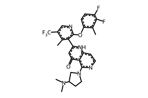 Cc1c(Oc2ncc(C(F)(F)F)c(C)c2-c2cc(=O)c3c(N4CCC(N(C)C)C4)nccc3[nH]2)ccc(F)c1F